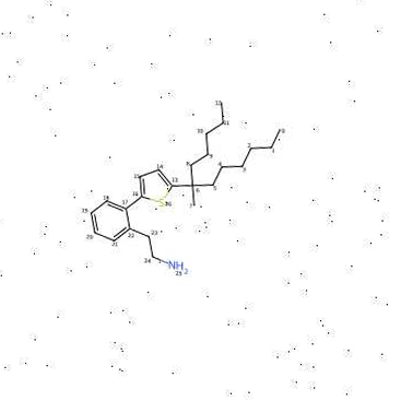 CCCCCCC(C)(CCCCC)c1ccc(-c2ccccc2CCN)s1